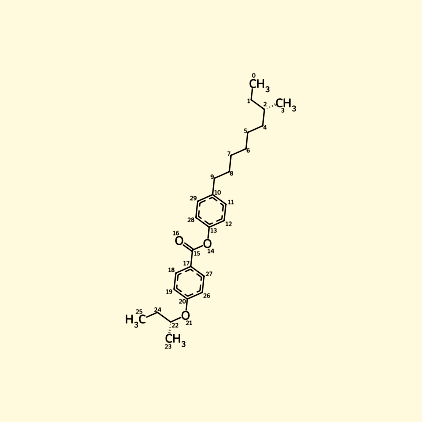 CC[C@H](C)CCCCCCc1ccc(OC(=O)c2ccc(O[C@H](C)CC)cc2)cc1